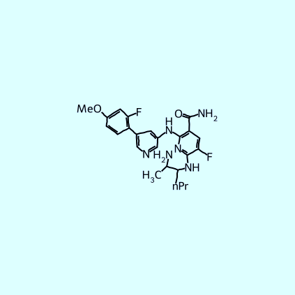 CCCC(Nc1nc(Nc2cncc(-c3ccc(OC)cc3F)c2)c(C(N)=O)cc1F)C(C)N